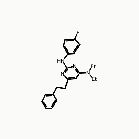 CCN(CC)c1cc(CCc2ccccc2)nc(Nc2ccc(F)cc2)n1